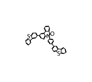 O=c1c2ccccc2c2cc(-c3ccc4sc5ccccc5c4c3)ccc2n1-c1ccc(-c2ccc3sc4ccccc4c3c2)cc1